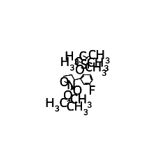 CC(C)(C)OC(=O)N1OCCC1c1cc(F)ccc1O[Si](C)(C)C(C)(C)C